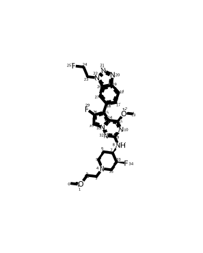 COCCN1CC[C@@H](Nc2nc(OC)c3c(-c4ccc5nnn(CCF)c5c4)c(F)cn3n2)[C@@H](F)C1